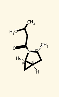 CC(C)CC(=O)N1[C@H](C)C[C@H]2C[C@H]21